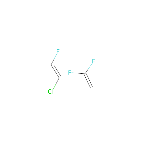 C=C(F)F.FC=CCl